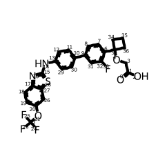 O=C(O)COC1(c2ccc(-c3ccc(Nc4nc5ccc(OC(F)(F)F)cc5s4)cc3)cc2F)CCC1